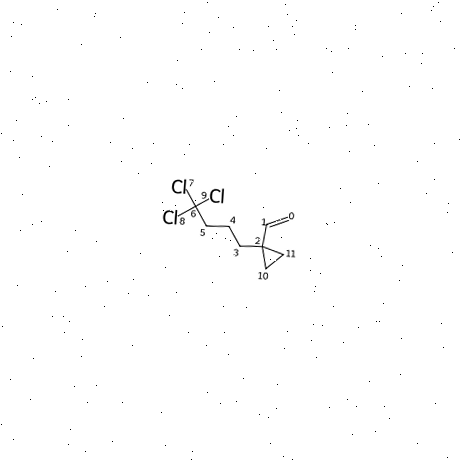 C=CC1(CCCC(Cl)(Cl)Cl)CC1